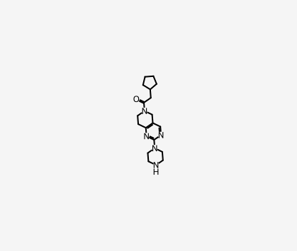 O=C(CC1CCCC1)N1CCc2nc(N3CCNCC3)ncc2C1